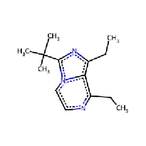 CCc1nccn2c(C(C)(C)C)nc(CC)c12